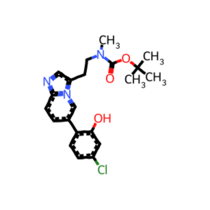 CN(CCc1cnc2ccc(-c3ccc(Cl)cc3O)cn12)C(=O)OC(C)(C)C